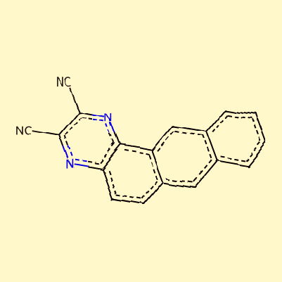 N#Cc1nc2ccc3cc4ccccc4cc3c2nc1C#N